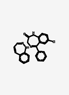 C1=Cc2ccccc2NN=C1.O=C1CN=C(c2ccccc2)c2cc(Cl)ccc2N1